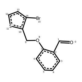 O=Cc1ccccc1OCc1sccc1Br